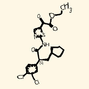 CCOC(=O)C(=O)c1cnc(NC(=O)[C@@H](CC2CCCC2)c2ccc(Cl)c(Cl)c2)s1